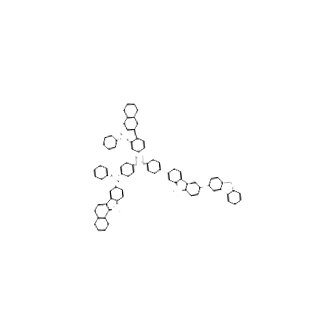 c1ccc(N(c2ccc(N(c3ccc(-c4ccc5c(c4)oc4ccc(-c6ccc7c(c6)-c6ccccc6C7)cc45)cc3)c3ccc4c5cc6ccccc6cc5n(-c5ccccc5)c4c3)cc2)c2ccc3sc4c5ccccc5ccc4c3c2)cc1